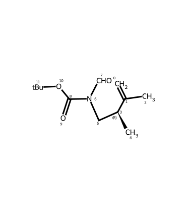 C=C(C)[C@@H](C)CN(C=O)C(=O)OC(C)(C)C